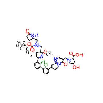 COc1nc(-c2cccc(-c3cccc(-c4ccn5c(=O)c(CN6C[C@@H](O)C[C@@H]6C(=O)O)cnc5c4)c3Cl)c2Cl)ccc1CN(CC1CCC(=O)N1)C(=O)OC(C)(C)C